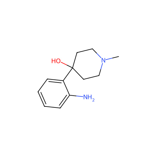 CN1CCC(O)(c2ccccc2N)CC1